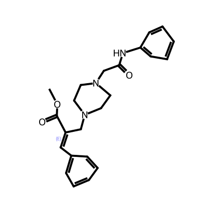 COC(=O)/C(=C/c1ccccc1)CN1CCN(CC(=O)Nc2ccccc2)CC1